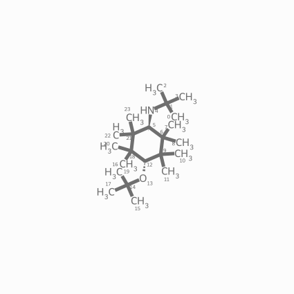 CC(C)(C)N[C@H]1C(C)(C)C(C)(C)[C@H](OC(C)(C)C)C(C)(C)C1(C)C